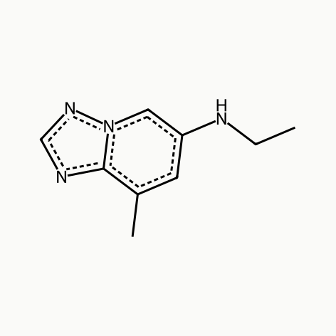 CCNc1cc(C)c2ncnn2c1